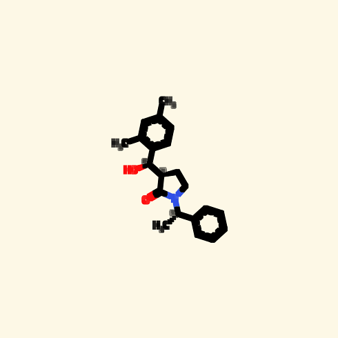 Cc1ccc([C@H](O)[C@H]2CCN([C@@H](C)c3ccccc3)C2=O)c(C)c1